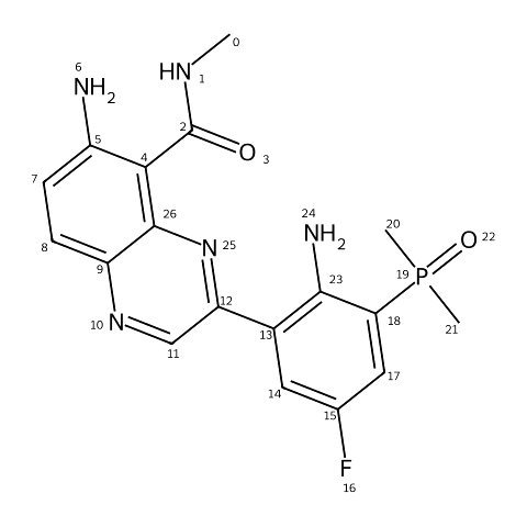 CNC(=O)c1c(N)ccc2ncc(-c3cc(F)cc(P(C)(C)=O)c3N)nc12